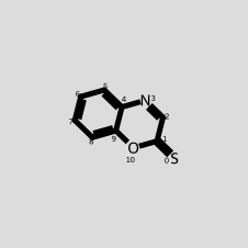 S=c1cnc2ccccc2o1